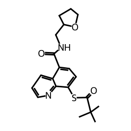 CC(C)(C)C(=O)Sc1ccc(C(=O)NCC2CCCO2)c2cccnc12